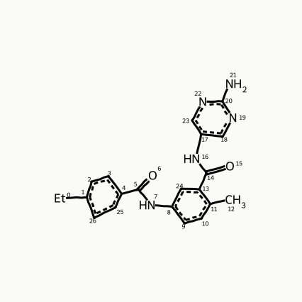 CCc1ccc(C(=O)Nc2ccc(C)c(C(=O)Nc3cnc(N)nc3)c2)cc1